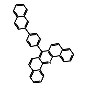 c1ccc2cc(-c3ccc(-c4c5ccc6ccccc6c5nc5c4ccc4ccccc45)cc3)ccc2c1